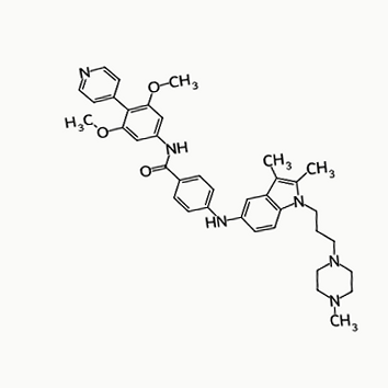 COc1cc(NC(=O)c2ccc(Nc3ccc4c(c3)c(C)c(C)n4CCCN3CCN(C)CC3)cc2)cc(OC)c1-c1ccncc1